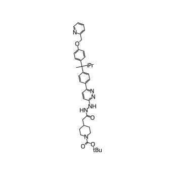 CC(C)C(C)(c1ccc(OCc2ccccn2)cc1)c1ccc(-c2ccc(NNC(=O)CC3CCN(C(=O)OC(C)(C)C)CC3)nn2)cc1